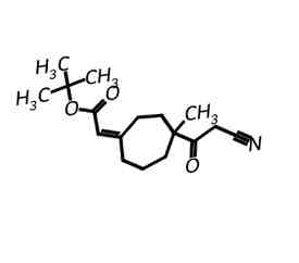 CC(C)(C)OC(=O)/C=C1/CCCC(C)(C(=O)CC#N)CC1